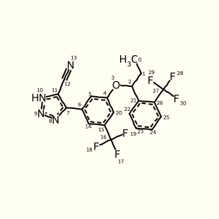 CCC(Oc1cc(-c2nn[nH]c2C#N)cc(C(F)(F)F)c1)c1ccccc1C(F)(F)F